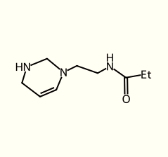 CCC(=O)NCCN1C=CCNC1